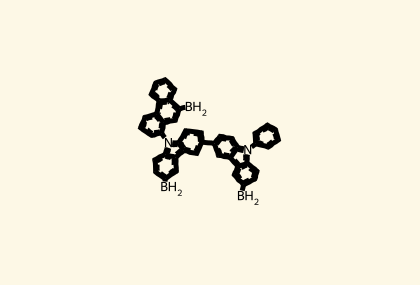 Bc1ccc2c(c1)c1cc(-c3ccc4c(c3)c3cc(B)ccc3n4-c3cccc4c3cc(B)c3ccccc34)ccc1n2-c1ccccc1